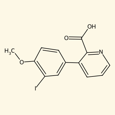 COc1ccc(-c2cccnc2C(=O)O)cc1I